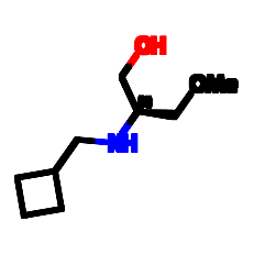 COC[C@H](CO)NCC1CCC1